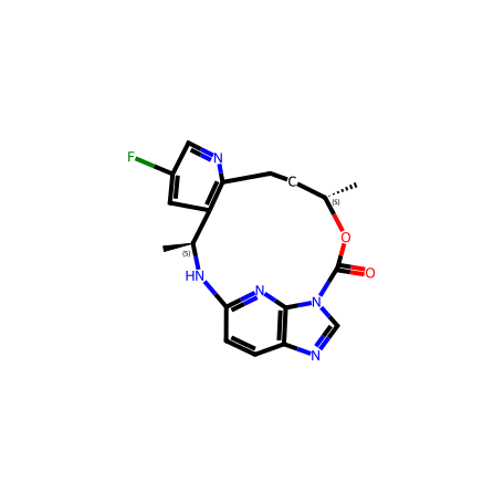 C[C@@H]1Nc2ccc3ncn(c3n2)C(=O)O[C@@H](C)CCc2ncc(F)cc21